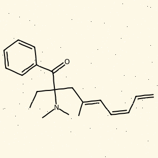 C=C/C=C\C=C(/C)CC(CC)(C(=O)c1ccccc1)N(C)C